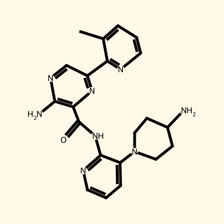 Cc1cccnc1-c1cnc(N)c(C(=O)Nc2ncccc2N2CCC(N)CC2)n1